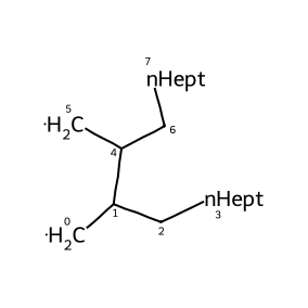 [CH2]C(CCCCCCCC)C([CH2])CCCCCCCC